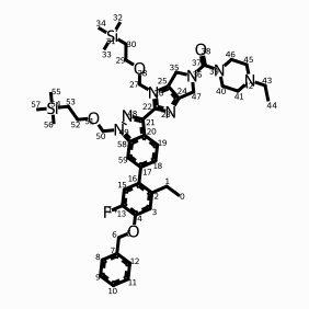 CCc1cc(OCc2ccccc2)c(F)cc1-c1ccc2c(-c3nc4c(n3COCC[Si](C)(C)C)CN(C(=O)N3CCN(CC)CC3)C4)nn(COCC[Si](C)(C)C)c2c1